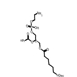 CCCCCCCCCCCCCCCC(=O)OC[C@H](COP(=O)(O)OCCN)OC(=O)CCC